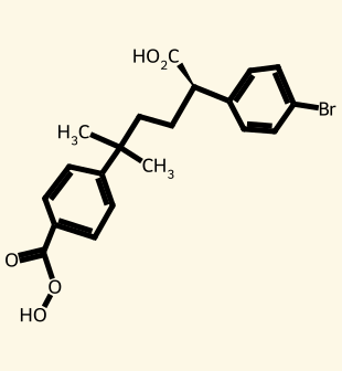 CC(C)(CC[C@@H](C(=O)O)c1ccc(Br)cc1)c1ccc(C(=O)OO)cc1